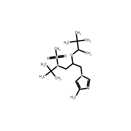 Cc1cn(CC(CN(C(C)(C)C)S(C)(=O)=O)OC(C)C(C)(C)C)cn1